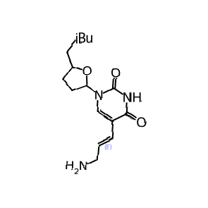 CCC(C)CC1CCC(n2cc(/C=C/CN)c(=O)[nH]c2=O)O1